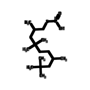 CC(CCC(C)(C)CC(C)CS[PH](=O)O)CC(C)(C)C